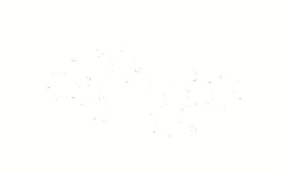 CN(CC(CCN1CCC(C(=O)c2nc3ccccc3n2Cc2ccco2)CC1)c1cccc(Cl)c1)C(=O)c1ccccc1